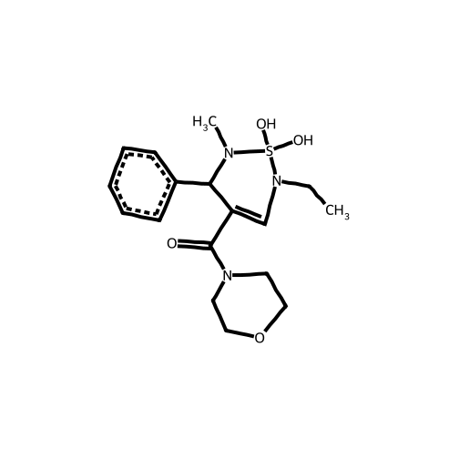 CCN1C=C(C(=O)N2CCOCC2)C(c2ccccc2)N(C)S1(O)O